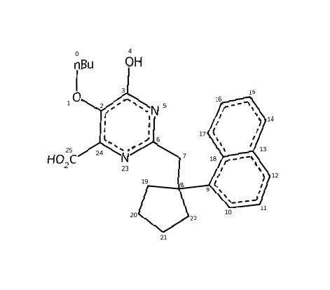 CCCCOc1c(O)nc(CC2(c3cccc4ccccc34)CCCC2)nc1C(=O)O